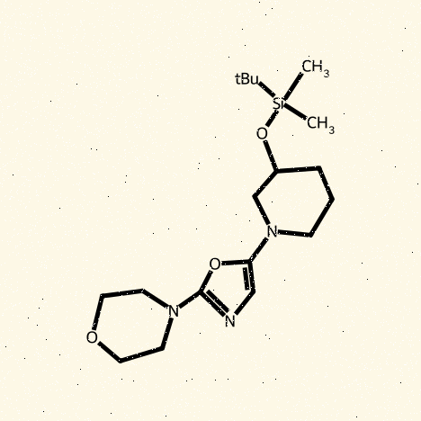 CC(C)(C)[Si](C)(C)OC1CCCN(c2cnc(N3CCOCC3)o2)C1